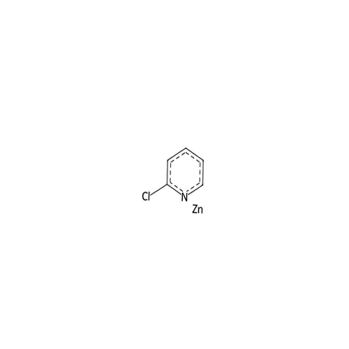 Clc1ccccn1.[Zn]